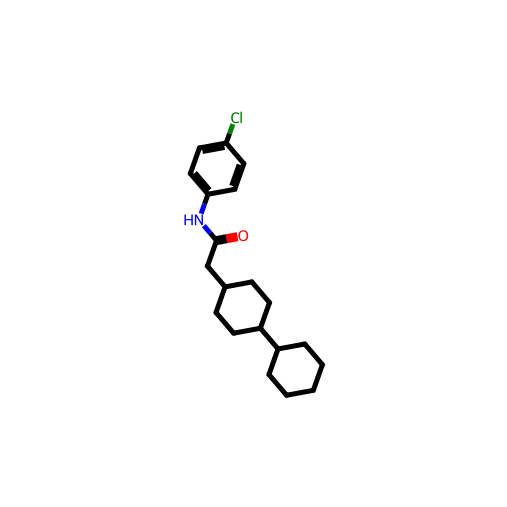 O=C(CC1CCC(C2CCCCC2)CC1)Nc1ccc(Cl)cc1